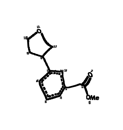 COC(=O)c1cccc(C2CCOC2)n1